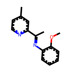 COc1ccccc1N=C(C)c1cc(C)ccn1